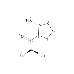 CC[C@H](C)[C@H](C)C(=O)C1CCC[C@H]1C